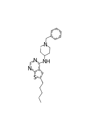 CCCCCc1cc2c(NC3CCN(Cc4ccccc4)CC3)ncnc2s1